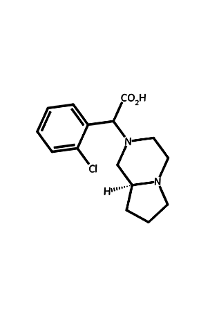 O=C(O)C(c1ccccc1Cl)N1CCN2CCC[C@H]2C1